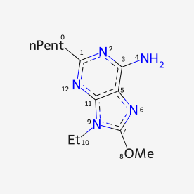 CCCCCc1nc(N)c2nc(OC)n(CC)c2n1